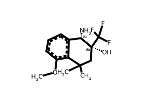 COc1cccc2c1C(C)(C)C[C@](O)(C(F)(F)F)[C@H]2N